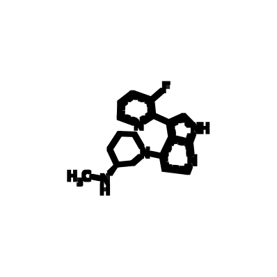 CN[C@H]1CCCN(c2ccnc3[nH]cc(-c4ncccc4F)c23)C1